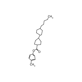 CCCCCC1CCC(C2CCC(C(=O)Oc3ccc(C)cc3)CC2)CC1